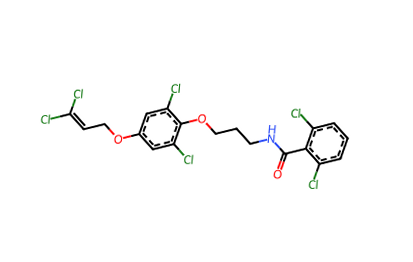 O=C(NCCCOc1c(Cl)cc(OCC=C(Cl)Cl)cc1Cl)c1c(Cl)cccc1Cl